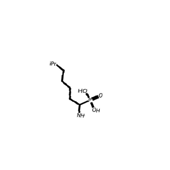 CC(C)CCCCC([NH])P(=O)(O)O